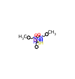 Cc1ccc(CCNC(=O)C(NC(=O)[C@@H](S)Cc2ccccc2)C(=O)NCCc2ccc(C)cc2)cc1